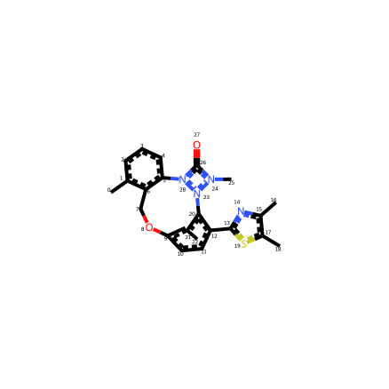 Cc1cccc2c1COc1ccc(-c3nc(C)c(C)s3)c(c1C)-n1n(C)c(=O)n1-2